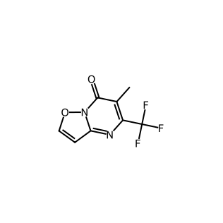 Cc1c(C(F)(F)F)nc2ccon2c1=O